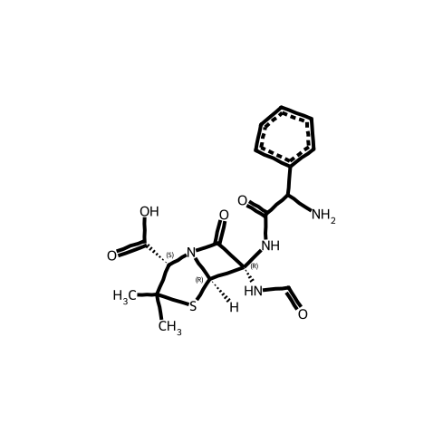 CC1(C)S[C@H]2N(C(=O)[C@@]2(NC=O)NC(=O)C(N)c2ccccc2)[C@H]1C(=O)O